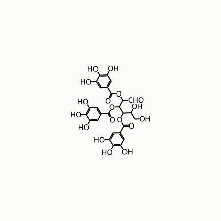 O=CC(OC(=O)c1cc(O)c(O)c(O)c1)C(OC(=O)c1cc(O)c(O)c(O)c1)C(OC(=O)c1cc(O)c(O)c(O)c1)C(O)CO